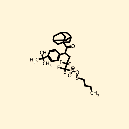 CCCCSOS(=O)(=O)C(F)(F)C(F)(F)CC(C(=O)C12CC3CC(CC(C3)C1)C2)c1ccc(C(C)(C)C)cc1